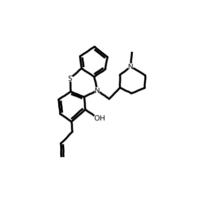 C=CCc1ccc2c(c1O)N(CC1CCCN(C)C1)c1ccccc1S2